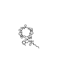 CCCC/C=C/C(=O)N[C@@H](Cc1ccccc1C)C(=O)N[C@H]1COC(=O)[C@@H]2CCCN2C(=O)[C@H](C)NC(=O)[C@H](C)N(C)C(=O)[C@@H]2CCCN2C1=O